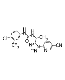 CC(NC(=O)Nc1ccc(Cl)c(C(F)(F)F)c1)c1ncnn1-c1ccc(C#N)cn1